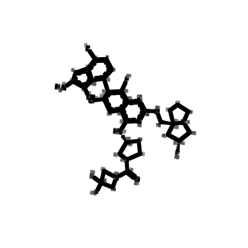 N#Cc1c(N)sc2c(F)ccc(-c3c(Cl)cc4c(N[C@@H]5CCN(C(=O)N6CC(F)(F)C6)C5)nc(OC[C@@]56CCCN5C[C@H](F)C6)nc4c3F)c12